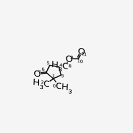 CC1(C)CCCC1=O.COC=O